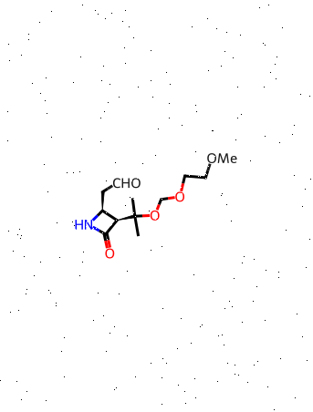 COCCOCOC(C)(C)[C@H]1C(=O)N[C@H]1CC=O